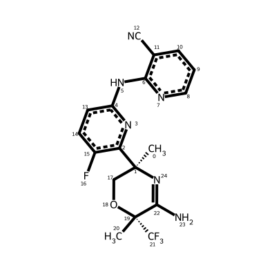 C[C@@]1(c2nc(Nc3ncccc3C#N)ccc2F)CO[C@@](C)(C(F)(F)F)C(N)=N1